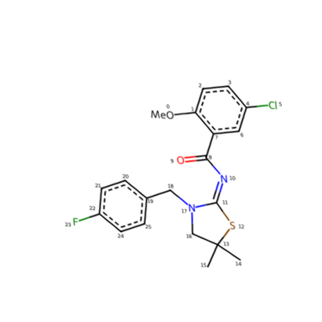 COc1ccc(Cl)cc1C(=O)N=C1SC(C)(C)CN1Cc1ccc(F)cc1